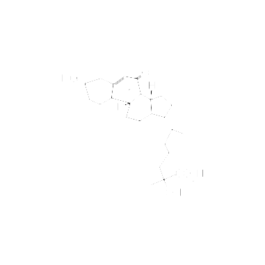 CC(CCCC(C)(O)C(=O)O)[C@H]1CC[C@H]2[C@@H]3C(=O)C=C4C[C@@H](O)CC[C@]4(C)[C@H]3CC[C@]12C